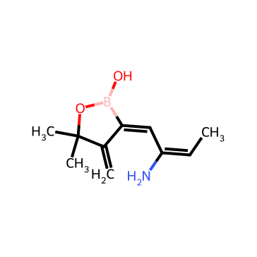 C=C1/C(=C\C(N)=C/C)B(O)OC1(C)C